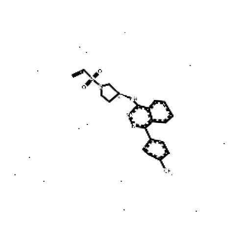 C=CS(=O)(=O)N1CC[C@H](Nc2nnc(-c3ccc(C(F)(F)F)cc3)c3ccccc23)C1